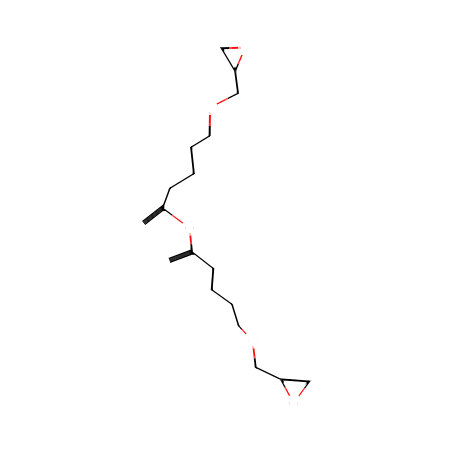 C=C(CCCCOCC1CO1)OC(=C)CCCCOCC1CO1